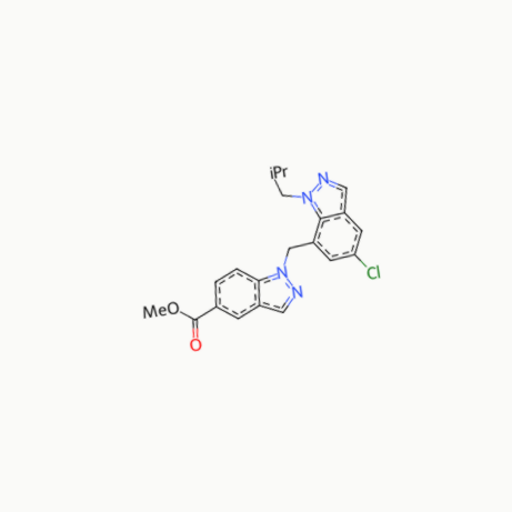 COC(=O)c1ccc2c(cnn2Cc2cc(Cl)cc3cnn(CC(C)C)c23)c1